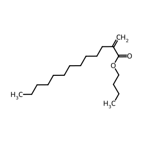 C=C(CCCCCCCCCCC)C(=O)OCCCC